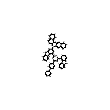 c1ccc(-c2ccc(-c3nc(-c4cccc5sc6ccccc6c45)nc(-c4cc(-n5c6cc7ccccc7cc6c6c7ccccc7ccc65)cc5sc6ccccc6c45)n3)cc2)cc1